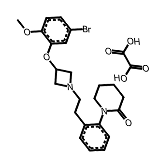 COc1ccc(Br)cc1OC1CN(CCc2ccccc2N2CCCCC2=O)C1.O=C(O)C(=O)O